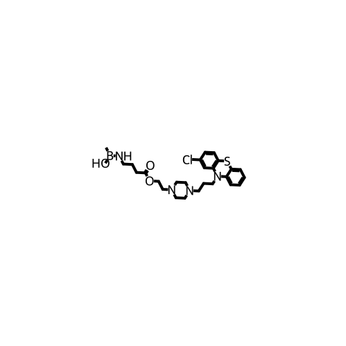 CB(O)NCCCC(=O)OCCN1CCN(CCCN2c3ccccc3Sc3ccc(Cl)cc32)CC1